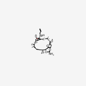 C=CCNC1=C2C[C@@H](C)C[C@H](OC)[C@H]3CC=C(O3)[C@H](OC(N)=O)[C@@H](OC)/C=C\C=C(/C)C(=O)NC(=CC1=O)C2=O